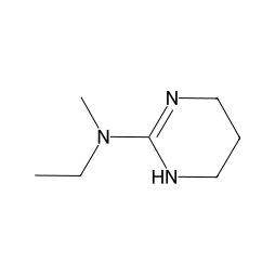 CCN(C)C1=NCCCN1